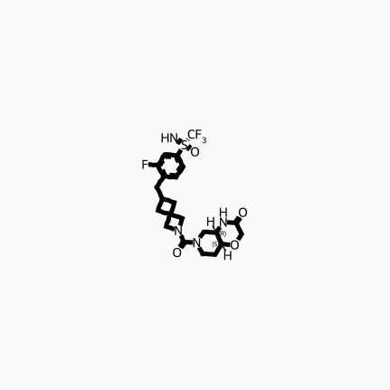 N=S(=O)(c1ccc(CC2CC3(C2)CN(C(=O)N2CC[C@@H]4OCC(=O)N[C@@H]4C2)C3)c(F)c1)C(F)(F)F